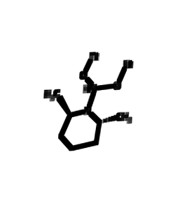 CCO[SiH](OCC)N1[C@H](C)CCC[C@H]1C